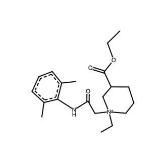 CCOC(=O)C1CCC[N+](CC)(CC(=O)Nc2c(C)cccc2C)C1